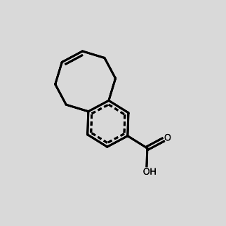 O=C(O)c1ccc2c(c1)CC/C=C\CC2